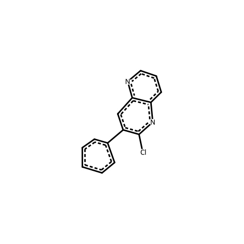 Clc1nc2cccnc2cc1-c1ccccc1